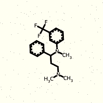 CN(C)CCC(c1ccccc1)N(C)c1cccc(C(F)(F)F)c1